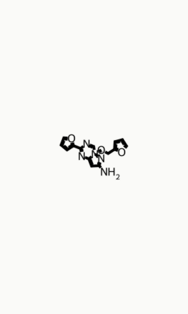 NC1=N[N+]2(OCc3ccco3)C=NC(c3ccco3)=NC2=C1